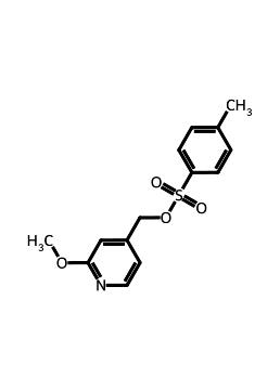 COc1cc(COS(=O)(=O)c2ccc(C)cc2)ccn1